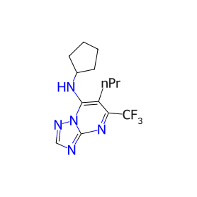 CCCc1c(C(F)(F)F)nc2ncnn2c1NC1CCCC1